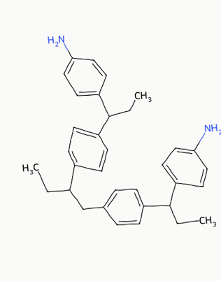 CCC(Cc1ccc(C(CC)c2ccc(N)cc2)cc1)c1ccc(C(CC)c2ccc(N)cc2)cc1